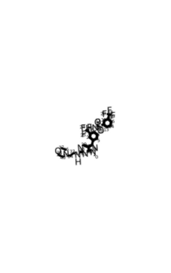 Cn1nc(-c2ccc(NS(=O)(=O)c3cccc(C(F)(F)F)c3)c(C(F)(F)F)c2)c2cnc(NCCN3CCOCC3)nc21